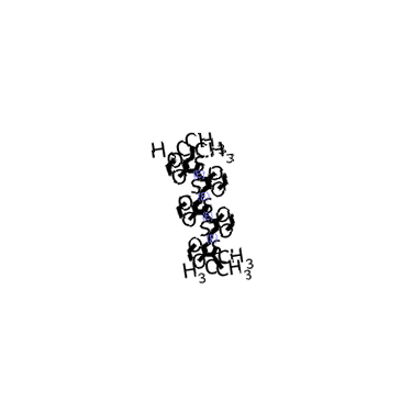 CC(C)(C)C1S/C(=c2/s/c(=c3/s/c(=c4/s/c(=C5/SC(C(C)(C)C)C6=C5OCCO6)c5c4OCCO5)c4c3OCCO4)c3c2OCCO3)C2=C1OCCO2